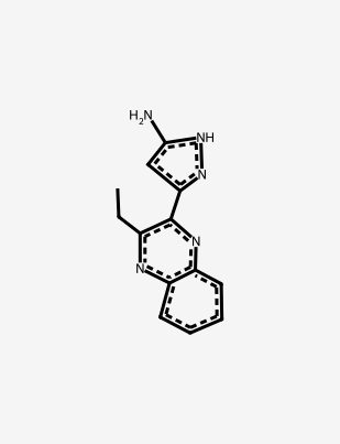 CCc1nc2ccccc2nc1-c1cc(N)[nH]n1